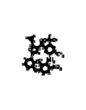 CS(=O)(=O)c1cc(C(F)(F)F)ccc1C(=O)c1cnoc1C1CC1.Nc1c([N+](=O)[O-])ccc(Oc2ccccc2)c1Cl